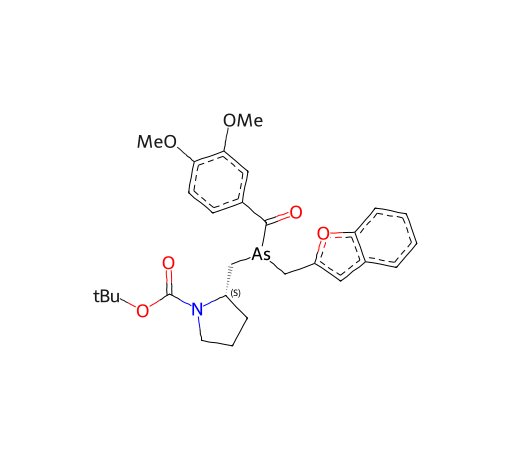 COc1ccc(C(=O)[As](Cc2cc3ccccc3o2)C[C@@H]2CCCN2C(=O)OC(C)(C)C)cc1OC